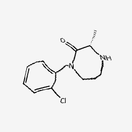 C[C@@H]1NCCN(c2ccccc2Cl)C1=O